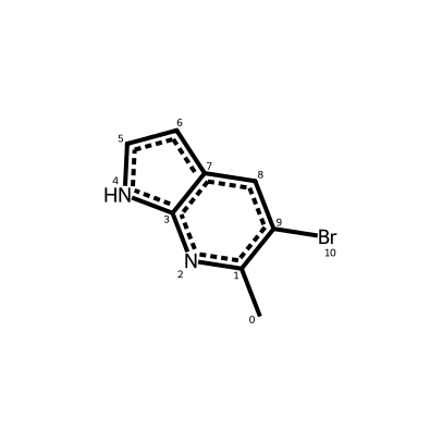 Cc1nc2[nH]ccc2cc1Br